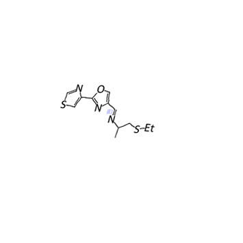 CCSCC(C)/N=C/c1coc(-c2cscn2)n1